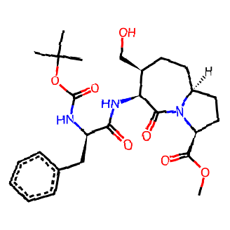 COC(=O)[C@@H]1CC[C@@H]2CC[C@H](CO)[C@H](NC(=O)[C@@H](Cc3ccccc3)NC(=O)OC(C)(C)C)C(=O)N21